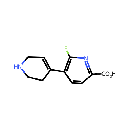 O=C(O)c1ccc(C2=CCNCC2)c(F)n1